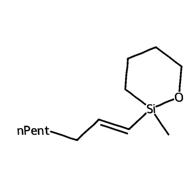 CCCCCCC=C[Si]1(C)CCCCO1